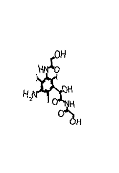 Nc1c(I)c(NC(=O)CO)c(I)c(C(O)C(=O)NC(=O)CO)c1I